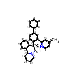 Cc1ccnc(-c2cc(-c3ccccc3)ccc2[C@]2(C)CN3C=CC=CC3c3ccccc32)c1